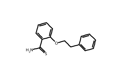 NC(=S)c1ccccc1OCCc1ccccc1